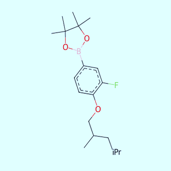 CC(C)CC(C)COc1ccc(B2OC(C)(C)C(C)(C)O2)cc1F